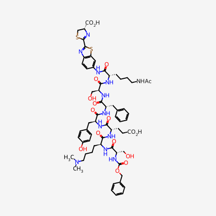 CC(=O)NCCCC[C@H](NC(=O)[C@H](CO)NC(=O)[C@H](Cc1ccccc1)NC(=O)[C@H](Cc1ccc(O)cc1)NC(=O)[C@H](CCC(=O)O)NC(=O)[C@H](CCCCN(C)C)NC(=O)[C@H](CO)NC(=O)OCc1ccccc1)C(=O)Nc1ccc2nc(C3=N[C@@H](C(=O)O)CS3)sc2c1